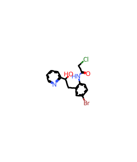 O=C(CCl)Nc1ccc(Br)cc1CC(O)c1ccccn1